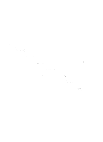 C=CC(=O)OCCCOC(=O)CCN(CCN)CCN